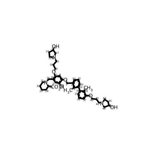 Cc1c(COc2cc(OCCCN3CCC(O)C3)c(CN3CCCCC3C(=O)O)cc2Cl)cccc1-c1cccc(OCCCN2CCC(O)C2)c1C